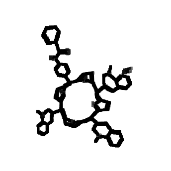 CN1CC(c2c3nc(c(C4=Cc5ccccc5N(C)C4)c4ccc([nH]4)c(-c4ccc(NC(=O)c5ccccc5)cc4)c4nc(c(C5=Cc6ccccc6N(C)C5)c5ccc2[nH]5)C=C4)C=C3)=Cc2ccccc21.Cl